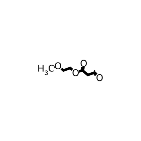 COCCOC(=O)C[C]=O